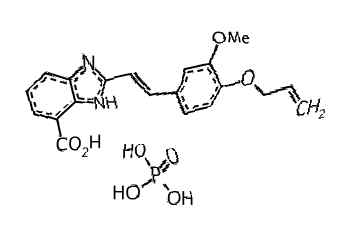 C=CCOc1ccc(C=Cc2nc3cccc(C(=O)O)c3[nH]2)cc1OC.O=P(O)(O)O